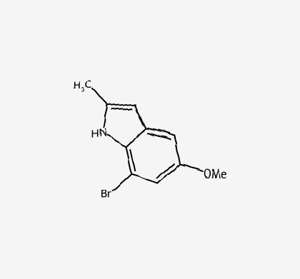 COc1cc(Br)c2[nH]c(C)cc2c1